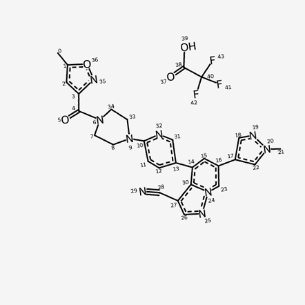 Cc1cc(C(=O)N2CCN(c3ccc(-c4cc(-c5cnn(C)c5)cn5ncc(C#N)c45)cn3)CC2)no1.O=C(O)C(F)(F)F